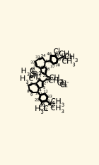 CCC1=CC2=C(C=CC=CC2c2ccc(C(C)(C)C)c(Cl)c2)[CH]1[Hf+2]([CH]1C(CC)=CC2=C1C=CC=CC2c1ccc(C(C)(C)C)c(Cl)c1)=[Si](C)C.[Cl-].[Cl-]